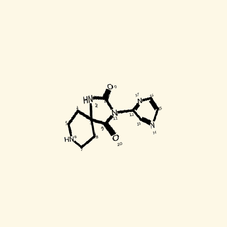 O=C1NC2(CCNCC2)C(=O)N1c1cnccn1